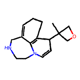 CC1(C2C=CN3CCNCC4=CCCC2=C43)COC1